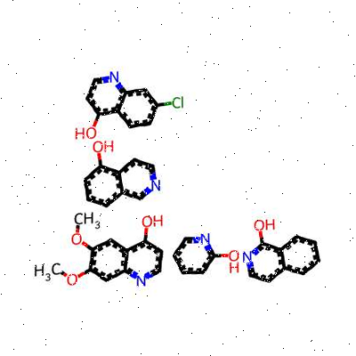 COc1cc2nccc(O)c2cc1OC.Oc1cccc2cnccc12.Oc1ccccn1.Oc1ccnc2cc(Cl)ccc12.Oc1nccc2ccccc12